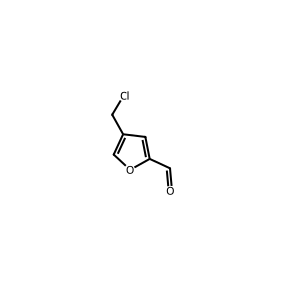 O=Cc1cc(CCl)co1